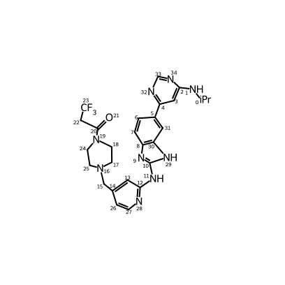 CC(C)Nc1cc(-c2ccc3nc(Nc4cc(CN5CCN(C(=O)CC(F)(F)F)CC5)ccn4)[nH]c3c2)ncn1